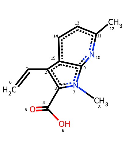 C=Cc1c(C(=O)O)n(C)c2nc(C)ccc12